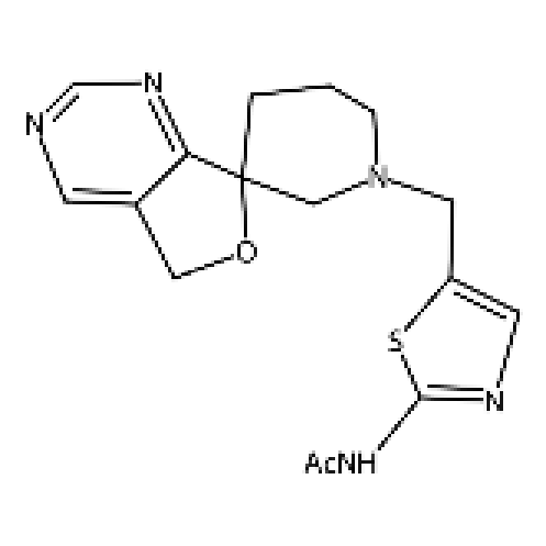 CC(=O)Nc1ncc(CN2CCCC3(C2)OCc2cncnc23)s1